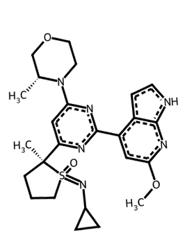 COc1cc(-c2nc(N3CCOC[C@H]3C)cc([C@]3(C)CCCS3(=O)=NC3CC3)n2)c2cc[nH]c2n1